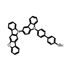 CC(C)(C)c1ccc(-c2ccc(-n3c4ccccc4c4cc(-n5c6ccccc6c6cc7oc8ccccc8c7cc65)ccc43)cc2)cc1